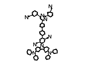 N#Cc1cccc(-c2cc(-c3ccc(-c4ccc(-c5cc(C#N)c(-n6c7ccc(N(c8ccccc8)c8ccccc8)cc7c7cc(N(c8ccccc8)c8ccccc8)ccc76)cc5C#N)cc4)cc3)nc(-c3cccc(C#N)c3)n2)c1